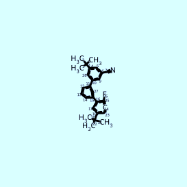 CC(C)(C)c1cc(C#N)cc(-c2cccc(-c3cc(C(C)(C)C)ccc3F)c2)c1